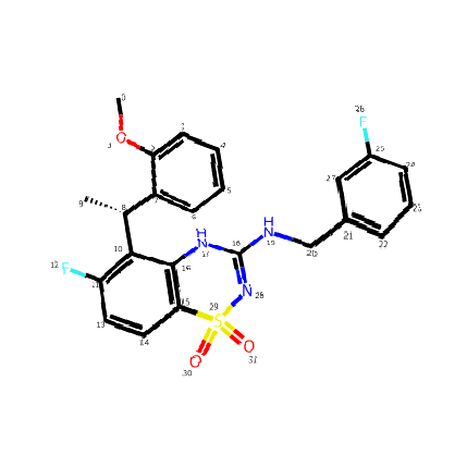 COc1ccccc1[C@@H](C)c1c(F)ccc2c1NC(NCc1cccc(F)c1)=NS2(=O)=O